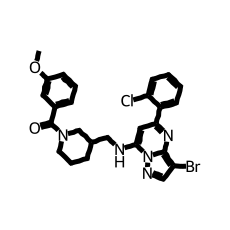 COc1cccc(C(=O)N2CCCC(CNc3cc(-c4ccccc4Cl)nc4c(Br)cnn34)C2)c1